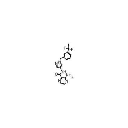 Nc1nccnc1C(=O)Nc1cnn(Cc2cccc(C(F)(F)F)c2)c1